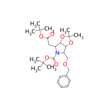 CC(C)(C)OC(=O)CC1C2OC(C)(C)OC2C(COCc2ccccc2)N1C(=O)OC(C)(C)C